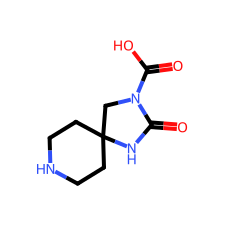 O=C(O)N1CC2(CCNCC2)NC1=O